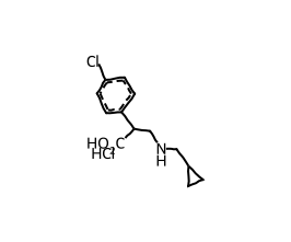 Cl.O=C(O)C(CNCC1CC1)c1ccc(Cl)cc1